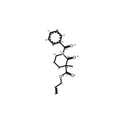 C=CCOC(=O)C1(C)CCCN(C(=O)c2ccccc2)C1=O